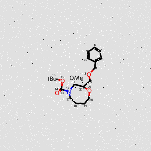 CO[C@@]1(COCc2ccccc2)CN(C(=O)OC(C)(C)C)CCCCO1